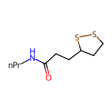 CCCNC(=O)CCC1CCSS1